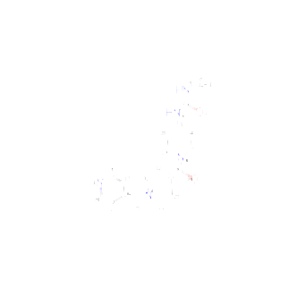 CC(C)(C)NC(=O)NC1CCN(C(=O)C2CCN(Cc3ccncc3)CC2)CC1